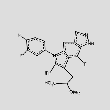 COC(Cc1c(C(C)C)n(-c2ccc(F)c(F)c2)c2cc3cn[nH]c3c(F)c12)C(=O)O